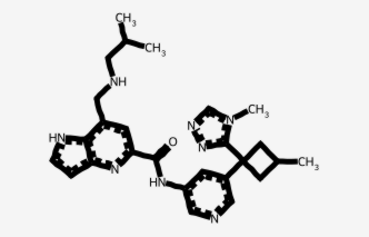 CC(C)CNCc1cc(C(=O)Nc2cncc(C3(c4nncn4C)CC(C)C3)c2)nc2cc[nH]c12